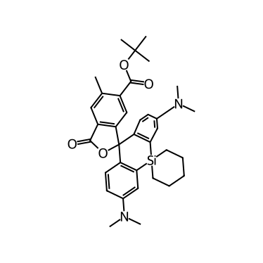 Cc1cc2c(cc1C(=O)OC(C)(C)C)C1(OC2=O)c2ccc(N(C)C)cc2[Si]2(CCCCC2)c2cc(N(C)C)ccc21